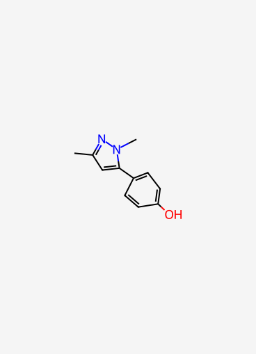 Cc1cc(-c2ccc(O)cc2)n(C)n1